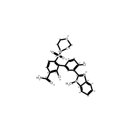 Cn1c(-c2cc(-c3c(S(=O)(=O)N4CCOCC4)ccc(C(N)=O)c3Cl)ccc2Cl)nc2ccccc21